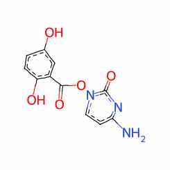 Nc1ccn(OC(=O)c2cc(O)ccc2O)c(=O)n1